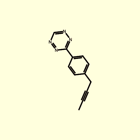 CC#CCc1ccc(-c2nncnn2)cc1